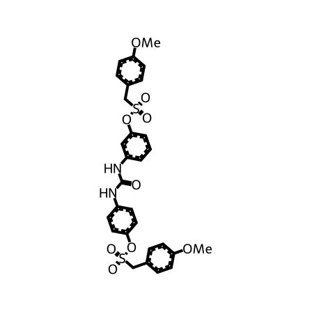 COc1ccc(CS(=O)(=O)Oc2ccc(NC(=O)Nc3cccc(OS(=O)(=O)Cc4ccc(OC)cc4)c3)cc2)cc1